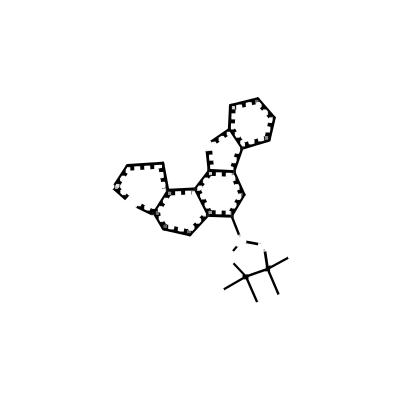 CC1(C)OB(c2cc3c4ccccc4sc3c3c2ccc2ccccc23)OC1(C)C